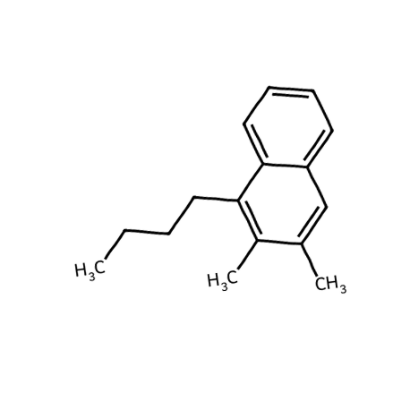 CCCCc1c(C)c(C)cc2ccccc12